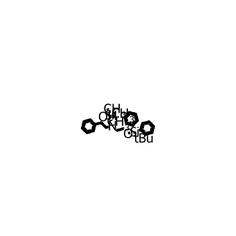 CC(C)(C)[Si](OCCNCC(O[Si](C)(C)C)c1ccccc1)(c1ccccc1)c1ccccc1